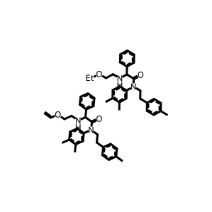 C=COCCNC(C(=O)N(CCc1ccc(C)cc1)c1ccc(C)c(C)c1)c1ccccc1.CCOCCNC(C(=O)N(CCc1ccc(C)cc1)c1ccc(C)c(C)c1)c1ccccc1